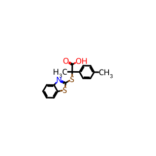 Cc1ccc(C(C)(Sc2nc3ccccc3s2)C(=O)O)cc1